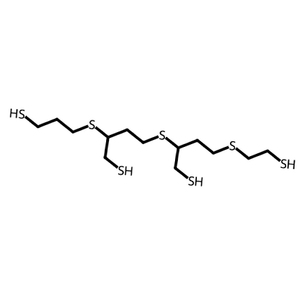 SCCCSC(CS)CCSC(CS)CCSCCS